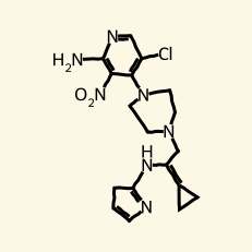 Nc1ncc(Cl)c(N2CCN(CC(NC3=NC=CC3)=C3CC3)CC2)c1[N+](=O)[O-]